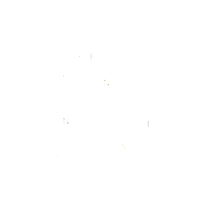 O=C(O)c1c(CN2CCOCC2)c2cc(Br)c(Cl)cc2n1-c1ccccc1